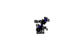 CCN(CC)c1ccc(/C=C/C2=[N+](CC)c3ccc(OC)cc3C2(C)CC)c(OC)c1